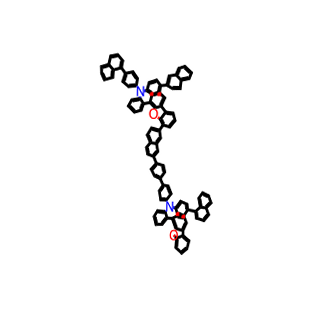 c1ccc(N(c2ccc(-c3ccc(-c4ccc5ccc(-c6cccc7c6oc6c(-c8ccccc8N(c8ccc(-c9ccc%10ccccc%10c9)cc8)c8ccc(-c9cccc%10ccccc9%10)cc8)cccc67)cc5c4)cc3)cc2)c2ccc(-c3cccc4ccccc34)cc2)c(-c2cccc3c2oc2ccccc23)c1